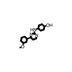 COc1cccc(-c2ccnc(Nc3ccc(O)cc3)n2)c1